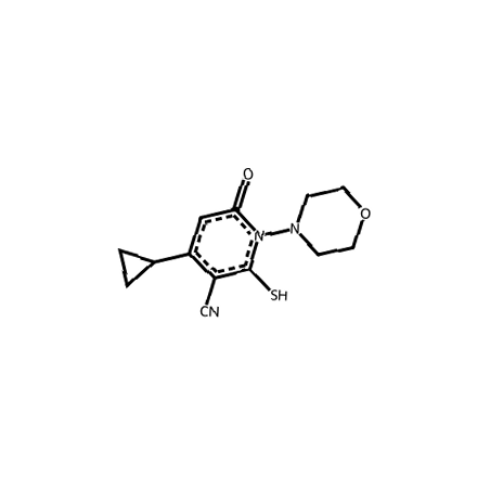 N#Cc1c(C2CC2)cc(=O)n(N2CCOCC2)c1S